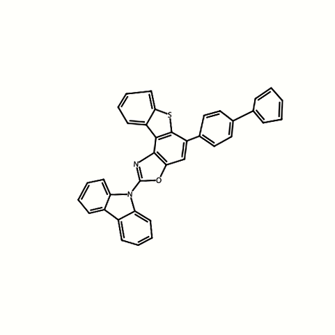 c1ccc(-c2ccc(-c3cc4oc(-n5c6ccccc6c6ccccc65)nc4c4c3sc3ccccc34)cc2)cc1